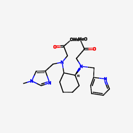 COC(=O)CN(Cc1cn(C)cn1)C1CCCC[C@@H]1N(CC(=O)OC)Cc1ccccn1